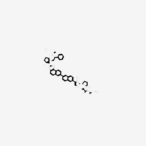 COC(=O)NC(C(=O)N1CCC[C@H]1c1ncc(-c2ccc3cc(-c4ccc5c(ccc6nc([C@@H]7[C@H]8CC[C@H](C8)N7C(=O)[C@H](NC(=O)OC)c7ccccc7)[nH]c65)c4)ccc3c2)[nH]1)C(C)C